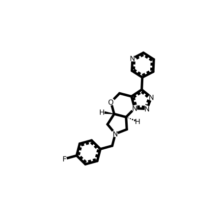 Fc1ccc(CN2C[C@@H]3OCc4c(-c5cccnc5)nnn4[C@H]3C2)cc1